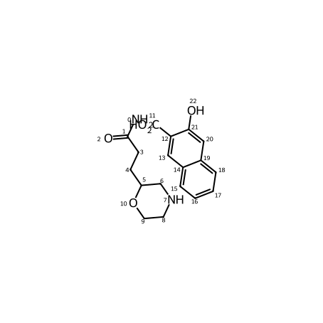 NC(=O)CCC1CNCCO1.O=C(O)c1cc2ccccc2cc1O